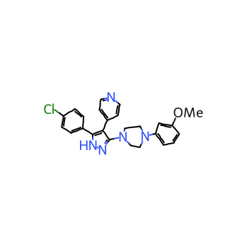 COc1cccc(N2CCN(c3n[nH]c(-c4ccc(Cl)cc4)c3-c3ccncc3)CC2)c1